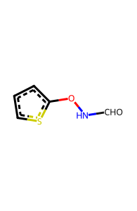 O=CNOc1cccs1